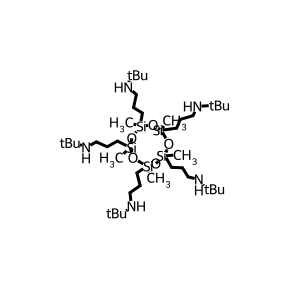 CC(C)(C)NCCC[Si]1(C)O[Si](C)(CCCNC(C)(C)C)O[Si](C)(CCCNC(C)(C)C)O[Si](C)(CCCNC(C)(C)C)O[Si](C)(CCCNC(C)(C)C)O1